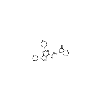 C(=NNc1nc(N2CCOCC2)nc2c1ncn2-c1ccccc1)c1c[nH]c2ccccc12